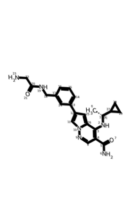 C[C@@H](Nc1c(C(N)=O)cnn2cc(-c3cccc(CNC(=O)CN)c3)cc12)C1CC1